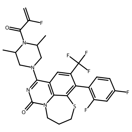 C=C(F)C(=O)N1C(C)CN(c2nc(=O)n3c4c(c(-c5ccc(F)cc5F)c(C(F)(F)F)cc24)SCCC3)CC1C